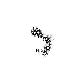 C[C@H]1CCCN1c1ccc(Cn2cc(OC(=O)NCc3ccc4c(N)nccc4c3)c(C(F)(F)F)n2)cn1